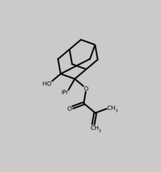 C=C(C)C(=O)OC1(C(C)C)C2CC3CC(C2)CC1(O)C3